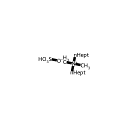 CCCCCCC[N+](C)(C)CCCCCCC.O=S(=O)([O-])O